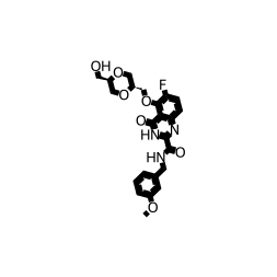 COc1cccc(CNC(=O)c2nc3ccc(F)c(OC[C@H]4CO[C@H](CO)CO4)c3c(=O)[nH]2)c1